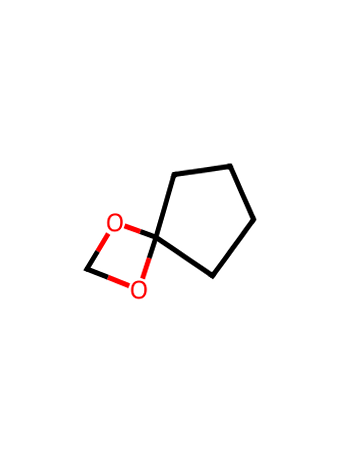 C1CCC2(C1)OCO2